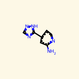 Nc1cc(-c2ncn[nH]2)ccn1